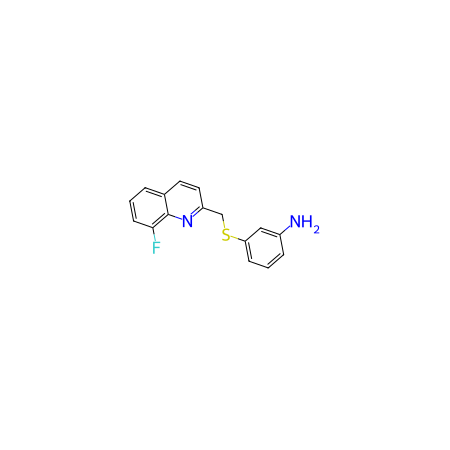 Nc1cccc(SCc2ccc3cccc(F)c3n2)c1